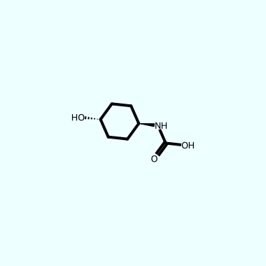 O=C(O)N[C@H]1CC[C@H](O)CC1